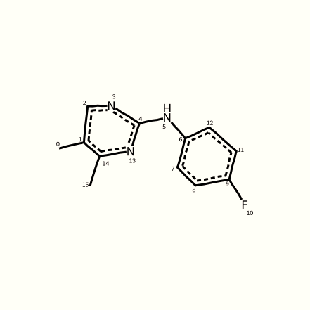 Cc1cnc(Nc2ccc(F)cc2)nc1C